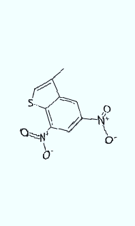 Cc1csc2c([N+](=O)[O-])cc([N+](=O)[O-])cc12